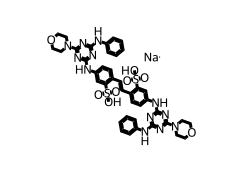 O=S(=O)(O)c1cc(Nc2nc(Nc3ccccc3)nc(N3CCOCC3)n2)ccc1C=Cc1ccc(Nc2nc(Nc3ccccc3)nc(N3CCOCC3)n2)cc1S(=O)(=O)O.[Na]